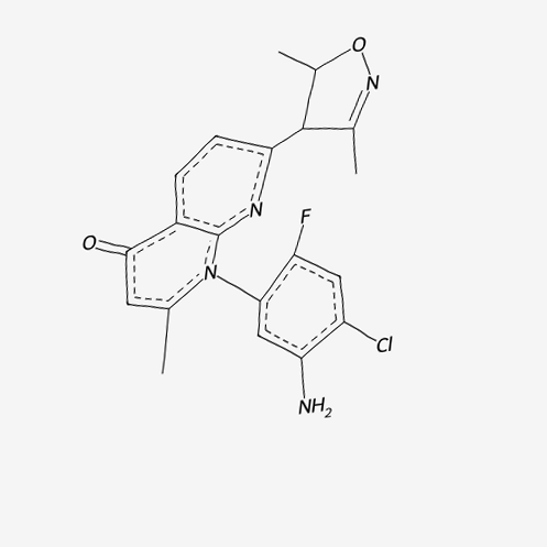 CC1=NOC(C)C1c1ccc2c(=O)cc(C)n(-c3cc(N)c(Cl)cc3F)c2n1